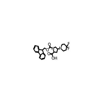 O=C(O)C1CC(N2CCC(F)(F)CC2)CN1C(=O)OCC1c2ccccc2-c2ccccc21